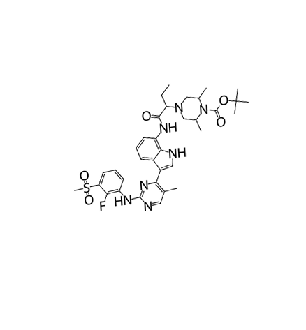 CCC(C(=O)Nc1cccc2c(-c3nc(Nc4cccc(S(C)(=O)=O)c4F)ncc3C)c[nH]c12)N1CC(C)N(C(=O)OC(C)(C)C)C(C)C1